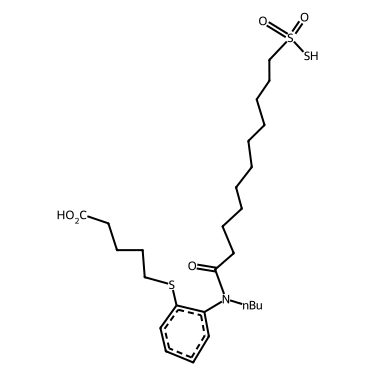 CCCCN(C(=O)CCCCCCCCCCS(=O)(=O)S)c1ccccc1SCCCCC(=O)O